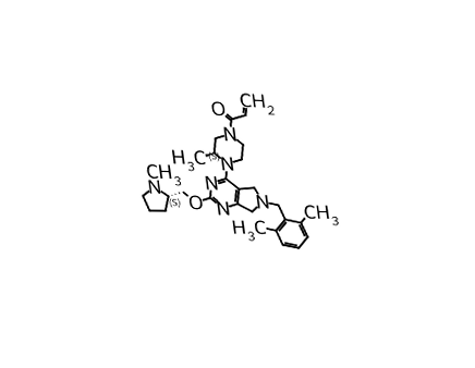 C=CC(=O)N1CCN(c2nc(OC[C@@H]3CCCN3C)nc3c2CN(Cc2c(C)cccc2C)C3)[C@@H](C)C1